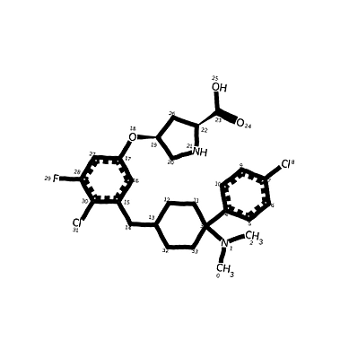 CN(C)C1(c2ccc(Cl)cc2)CCC(Cc2cc(O[C@@H]3CN[C@H](C(=O)O)C3)cc(F)c2Cl)CC1